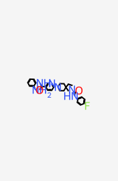 Nc1ccccc1NC(=O)c1ccc(N2CCC3(CCN(C(=O)Nc4ccc(F)cc4)C3)CC2)nc1